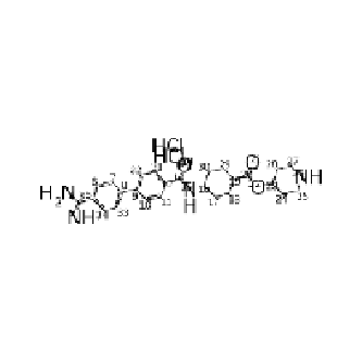 Cl.Cl.N=C(N)c1ccc(-c2ccc(C(=O)N[C@H]3CC[C@H](C(=O)OC4CCNCC4)CC3)cc2)cc1